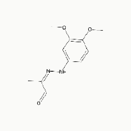 COc1ccc(NN=C(C)C=O)cc1OC